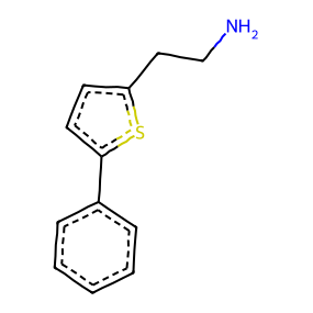 NCCc1ccc(-c2ccccc2)s1